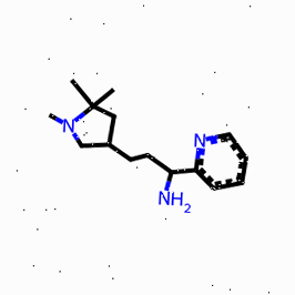 CN1CC(CCC(N)c2ccccn2)CC1(C)C